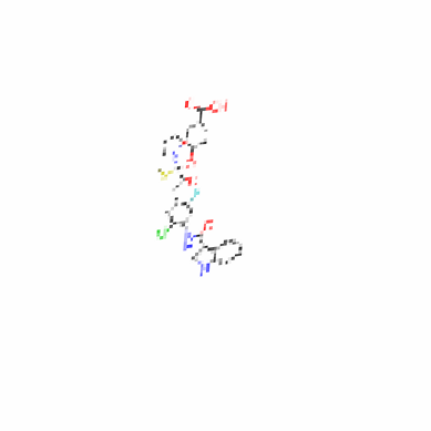 CSC(OC1CCC(C(=O)O)CC1)(C(=O)Cc1cc(Cl)c(NC(=O)c2cn(C)c3ccccc23)cc1F)N1CCCC1